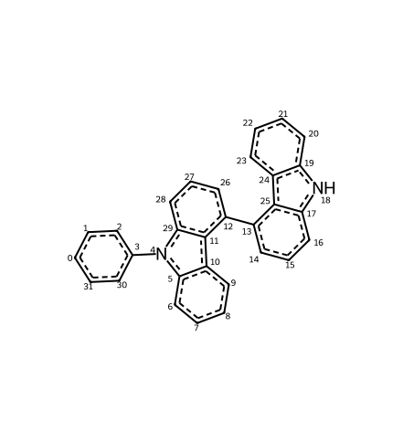 c1ccc(-n2c3ccccc3c3c(-c4cccc5[nH]c6ccccc6c45)cccc32)cc1